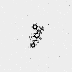 Cc1[nH]c2c(-c3ccccc3)c(C(F)(F)F)nn2c(=O)c1C(=O)Nc1cc[nH]n1